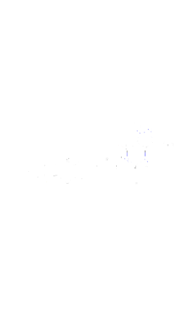 CCCc1nn(CC)c2c(=O)n(CCCOc3ccc(SC(C)(C)C(=O)OCC)cc3)c(CC)nc12